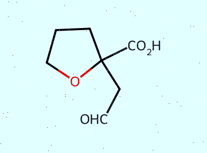 O=CCC1(C(=O)O)CCCO1